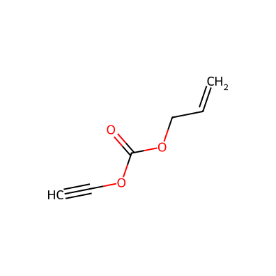 C#COC(=O)OCC=C